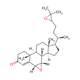 C[C@H](CCC1OC1(C)C)[C@H]1CC[C@H]2[C@@H]3[C@@H]4O[C@@H]4C4=CC(=O)CC[C@]4(C)[C@H]3CC[C@]12C